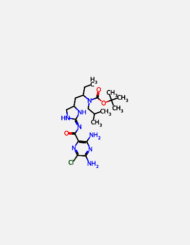 CCC(CC1CN/C(=N\C(=O)c2nc(Cl)c(N)nc2N)N1)N(CC(C)C)C(=O)OC(C)(C)C